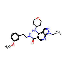 CCn1ncc2c(NC3CCOCC3)c(C(=O)NCCc3cccc(OC)c3)cnc21